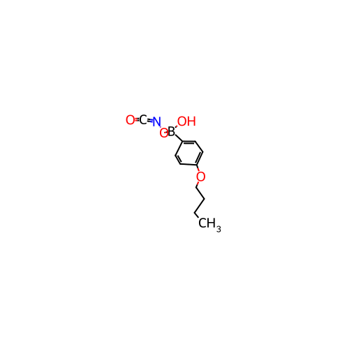 CCCCOc1ccc(B(O)ON=C=O)cc1